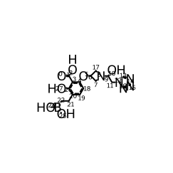 O=C(O)c1c(OC2CN(C(O)Cn3cnnn3)C2)ccc(CCB(O)O)c1O